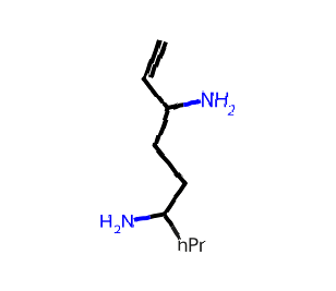 C=CC(N)CCC(N)CCC